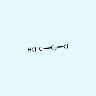 Cl.[Cl][Cu][Cl]